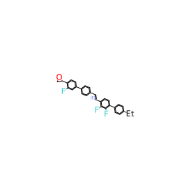 CCc1ccc(-c2ccc(/C=C/c3ccc(-c4ccc(C5CO5)c(F)c4)cc3)c(F)c2F)cc1